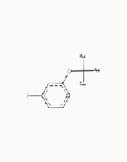 [2H]C([2H])([2H])Oc1cccc(I)c1